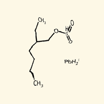 CCCCC(CC)CO[SH](=O)=O.[PbH2]